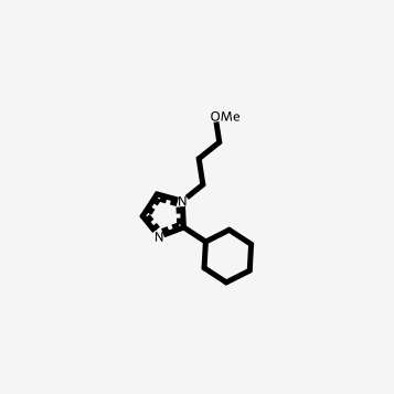 COCCCn1ccnc1C1CCCCC1